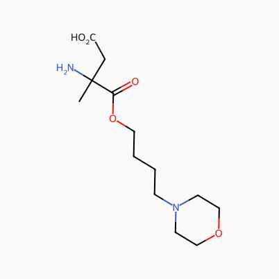 CC(N)(CC(=O)O)C(=O)OCCCCN1CCOCC1